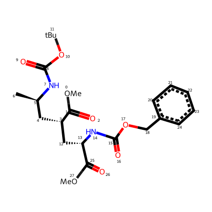 COC(=O)[C@@H](C[C@@H](C)NC(=O)OC(C)(C)C)C[C@H](NC(=O)OCc1ccccc1)C(=O)OC